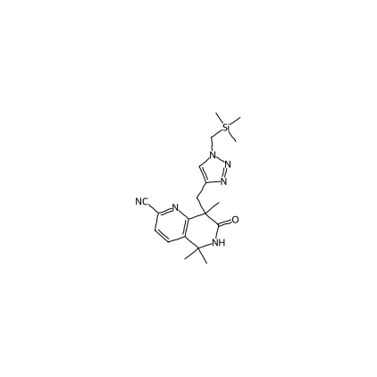 CC1(C)NC(=O)C(C)(Cc2cn(C[Si](C)(C)C)nn2)c2nc(C#N)ccc21